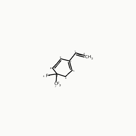 C=CC1=CCC(F)(C(F)(F)F)C=C1